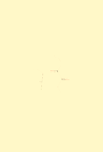 CCC(=O)C(=O)OC.C[CH2][Mg][Cl]